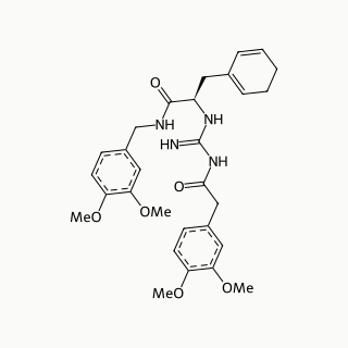 COc1ccc(CNC(=O)[C@@H](CC2=CCCC=C2)NC(=N)NC(=O)Cc2ccc(OC)c(OC)c2)cc1OC